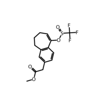 COC(=O)Cc1ccc2c(c1)CCCC=C2OS(=O)C(F)(F)F